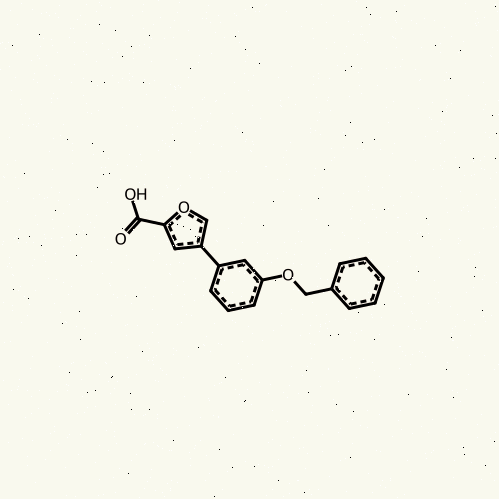 O=C(O)c1cc(-c2cccc(OCc3ccccc3)c2)co1